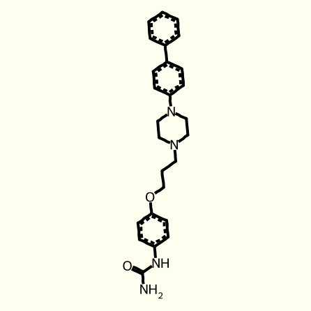 NC(=O)Nc1ccc(OCCCN2CCN(c3ccc(-c4ccccc4)cc3)CC2)cc1